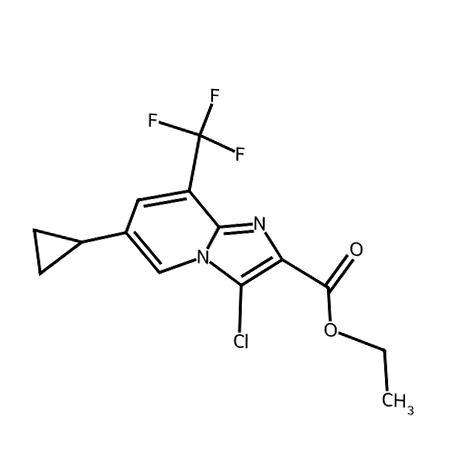 CCOC(=O)c1nc2c(C(F)(F)F)cc(C3CC3)cn2c1Cl